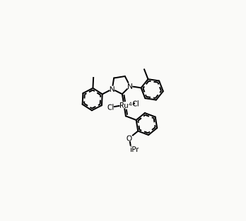 Cc1ccccc1N1CCN(c2ccccc2C)[C]1=[Ru-4]([Cl])([Cl])=[CH]c1ccccc1OC(C)C